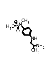 CC(N)CNc1ccc(N(C)S(C)(=O)=O)cc1